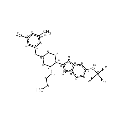 CCCC[C@@H]1CN(Cc2cc(C)cc(O)c2)CCN1c1nc2ccc(OC(F)(F)F)cc2s1